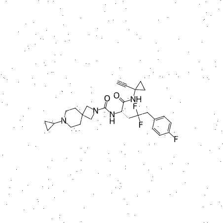 C#CC1(NC(=O)[C@H](CC(F)(F)Cc2ccc(F)cc2)NC(=O)N2CC3(CCN(C4CC4)CC3)C2)CC1